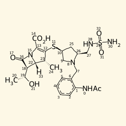 CC(=O)Nc1ccccc1CN1C[C@@H](SC2=C(C(=O)O)N3C(=O)[C@H]([C@@H](C)O)[C@H]3[C@H]2C)C[C@H]1CNS(N)(=O)=O